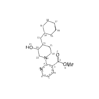 COC(=O)c1cccnc1N1CCC(CC2CCCCC2)C(O)C1